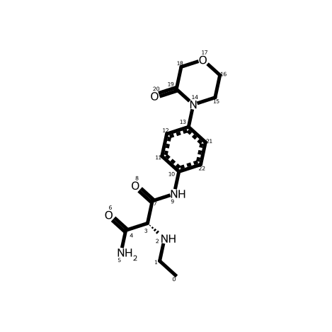 CCN[C@H](C(N)=O)C(=O)Nc1ccc(N2CCOCC2=O)cc1